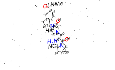 CNC(=O)c1ccc2c(c1)CCC2N1C(=O)C2C[C@H]1CN2CC(N)C(=O)N1C(C#N)CC2CC21